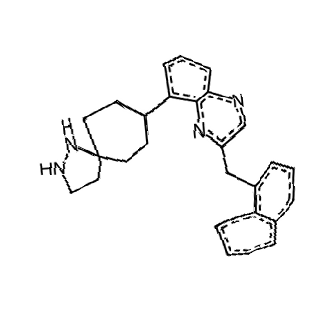 c1ccc2c(Cc3cnc4cccc(C5CCC6(CCNN6)CC5)c4n3)cccc2c1